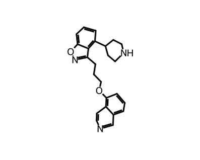 c1cc(OCCCc2noc3cccc(C4CCNCC4)c23)c2ccncc2c1